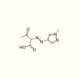 CC(=O)C(/N=N/c1cnn(C)c1)C(=O)O